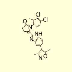 Cc1noc(C)c1-c1ccc2[nH]c([C@@H]3CCC(=O)N3c3ccc(Cl)c(Cl)c3C)nc2c1